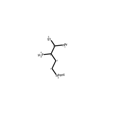 CCCCCCCC(P)C(CC)CCC